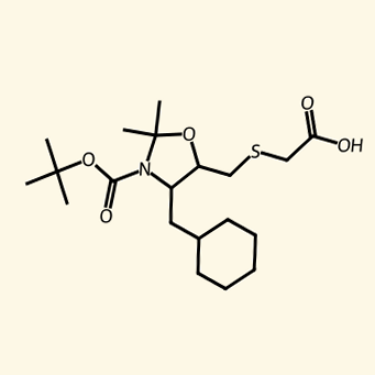 CC(C)(C)OC(=O)N1C(CC2CCCCC2)C(CSCC(=O)O)OC1(C)C